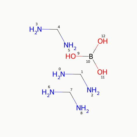 NCN.NCN.NCN.OB(O)O